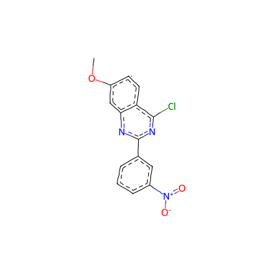 COc1[c]cc2c(Cl)nc(-c3cccc([N+](=O)[O-])c3)nc2c1